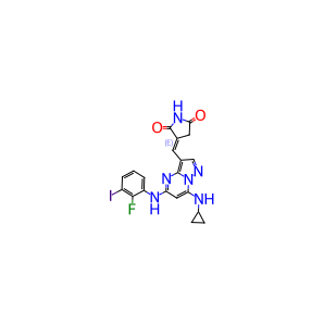 O=C1C/C(=C\c2cnn3c(NC4CC4)cc(Nc4cccc(I)c4F)nc23)C(=O)N1